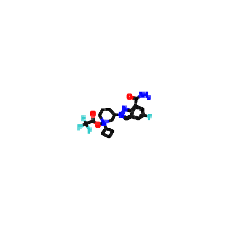 NC(=O)c1cc(F)cc2cn(C3CCC[N+](OC(=O)C(F)(F)F)(C4CCC4)C3)nc12